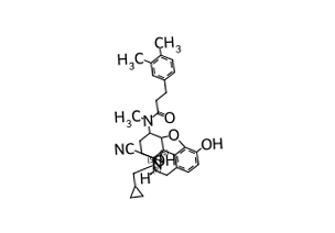 Cc1ccc(CCC(=O)N(C)C2CC[C@@]3(O)[C@H]4Cc5ccc(O)c6c5[C@@]3(CC(C#N)N4CC3CC3)C2O6)cc1C